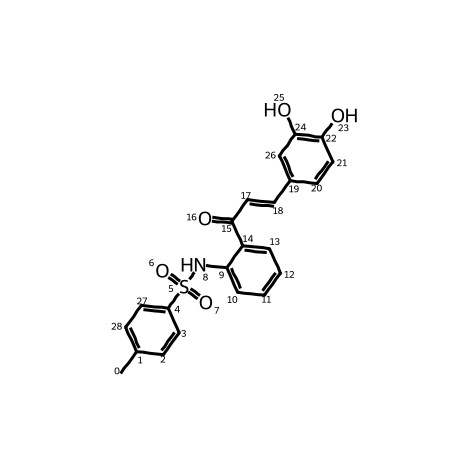 Cc1ccc(S(=O)(=O)Nc2ccccc2C(=O)/C=C/c2ccc(O)c(O)c2)cc1